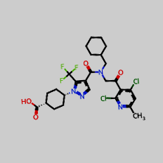 Cc1cc(Cl)c(C(=O)CN(CC2CCCCC2)C(=O)c2cnn([C@H]3CC[C@@H](C(=O)O)CC3)c2C(F)(F)F)c(Cl)n1